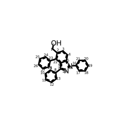 OCc1ccc2c(c(-c3ccccc3)nn2-c2ccccc2)c1-c1ccccc1